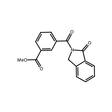 COC(=O)c1cccc(C(=O)N2Cc3ccccc3C2=O)c1